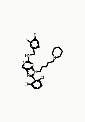 Fc1ccc(CNc2ncc3nc(-c4c(Cl)cccc4Cl)n(CCCCCN4CCCCC4)c3n2)cc1F